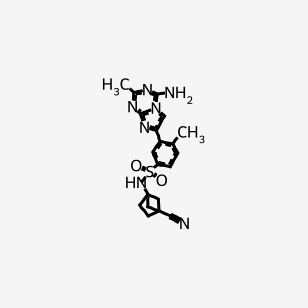 Cc1nc(N)n2cc(-c3cc(S(=O)(=O)NC45CCC(C#N)(C4)C5)ccc3C)nc2n1